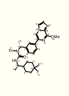 CCN(C(=O)N[C@H](C)C1CCC(F)(F)CC1)[C@H](C)c1cccc(-c2cn3ccnc3c(OC)n2)c1